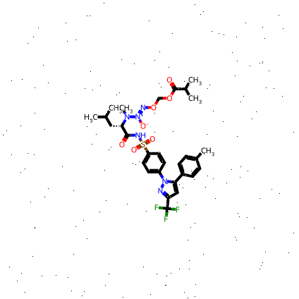 Cc1ccc(-c2cc(C(F)(F)F)nn2-c2ccc(S(=O)(=O)NC(=O)[C@H](CC(C)C)N(C)[N+]([O-])=NOCOC(=O)C(C)C)cc2)cc1